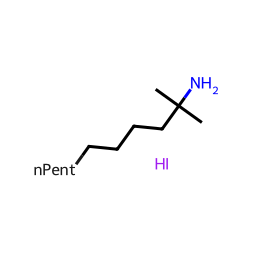 CCCCCCCCCC(C)(C)N.I